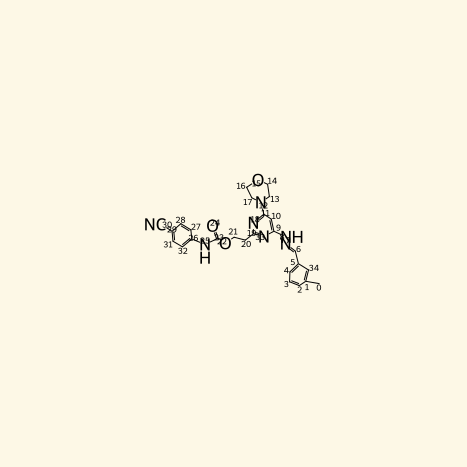 Cc1cccc(/C=N/Nc2cc(N3CCOCC3)nc(CCOC(=O)Nc3ccc(C#N)cc3)n2)c1